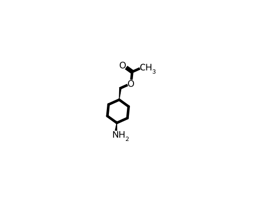 CC(=O)OC[C@H]1CC[C@@H](N)CC1